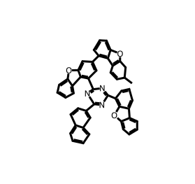 CC1C=Cc2c(oc3cccc(-c4cc(-c5nc(-c6ccc7ccccc7c6)nc(-c6cccc7c6oc6ccccc67)n5)c5c(c4)oc4ccccc45)c23)C1